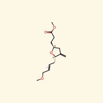 C=C1C[C@H](CCC(=O)OC)O[C@H]1C/C=C/COC